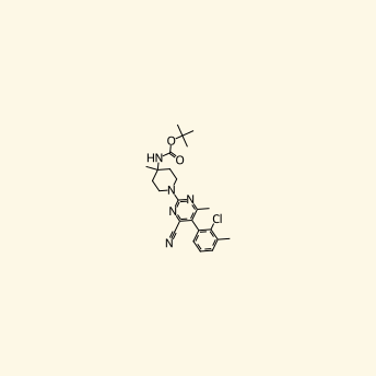 Cc1cccc(-c2c(C)nc(N3CCC(C)(NC(=O)OC(C)(C)C)CC3)nc2C#N)c1Cl